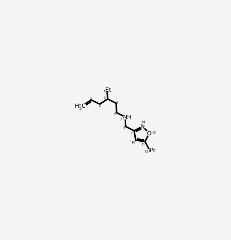 C=CCC(CC)CCNCc1cc(C(C)C)on1